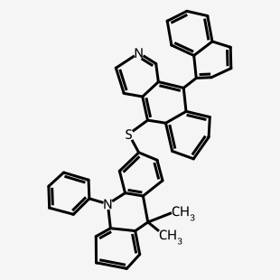 CC1(C)c2ccccc2N(c2ccccc2)c2cc(Sc3c4ccccc4c(-c4cccc5ccccc45)c4cnccc34)ccc21